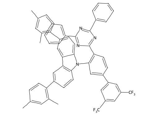 Cc1ccc(-c2ccc3c(c2)c2cc(-c4ccc(C)cc4C)ccc2n3-c2cc(-c3cc(C(F)(F)F)cc(C(F)(F)F)c3)ccc2-c2nc(-c3ccccc3)nc(-c3ccccc3)n2)c(C)c1